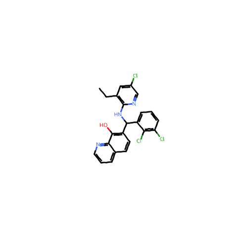 CCc1cc(Cl)cnc1NC(c1cccc(Cl)c1Cl)c1ccc2cccnc2c1O